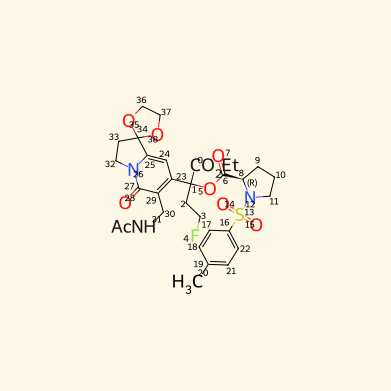 CCOC(=O)C(CCF)(OC(=O)[C@H]1CCCN1S(=O)(=O)c1ccc(C)cc1)c1cc2n(c(=O)c1CNC(C)=O)CCC21OCCO1